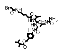 CC(C)C(C)C(=O)OCc1ccc(NC(=O)[C@H](CCCNC(N)=O)NC(=O)C(NC(=O)CCCCCNC(=O)CBr)C(C)C)cc1